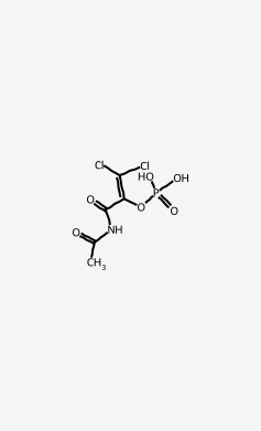 CC(=O)NC(=O)C(OP(=O)(O)O)=C(Cl)Cl